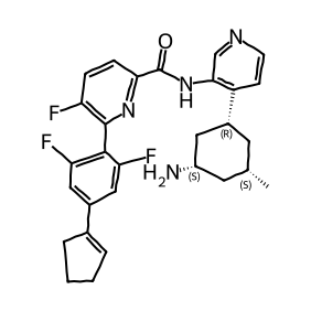 C[C@@H]1C[C@H](N)C[C@H](c2ccncc2NC(=O)c2ccc(F)c(-c3c(F)cc(C4=CCCC4)cc3F)n2)C1